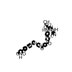 CCOC(=O)c1cnc(Nc2cnn(C)c2)nc1NC1CCC(N2CCN(C(=O)C3CCC(C(=O)N4CCC(N5CCCC(N6CCN(c7ccc(C8CCC(=O)NC8=O)cc7)CC6)C5)CC4)CC3)CC2)CC1